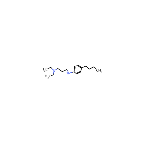 CCCCc1ccc(NCCCN(CC)CC)cc1